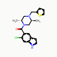 C[C@@H]1CN(Cc2cccs2)[C@@H](C)CN1C(=O)c1cc2cc[nH]c2cc1Cl